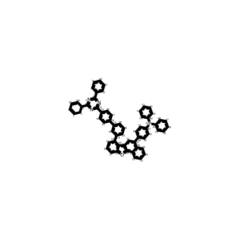 C1=CCC(c2nc(-c3ccccc3)nc(-c3ccc(-c4cccc(-c5cccc6oc7c8ccccc8c(-c8ccc(P(c9ccccc9)c9ccccc9)cc8)cc7c56)c4)cc3)n2)C=C1